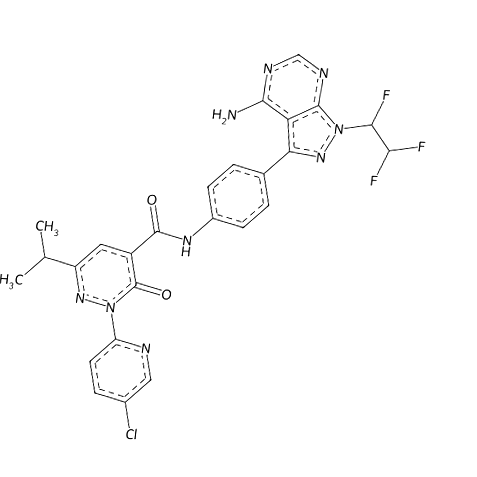 CC(C)c1cc(C(=O)Nc2ccc(-c3nn(C(F)C(F)F)c4ncnc(N)c34)cc2)c(=O)n(-c2ccc(Cl)cn2)n1